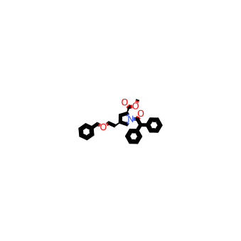 COC(=O)[C@@H]1C[C@H](CCOCc2ccccc2)CN1C(=O)C(c1ccccc1)c1ccccc1